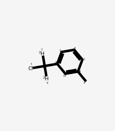 [2H]C([2H])(Cl)c1cccc(C)c1